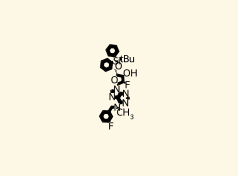 CN(Cc1cccc(F)c1)c1ncnc2c1ncn2[C@@H]1O[C@H](CO[Si](c2ccccc2)(c2ccccc2)C(C)(C)C)[C@@H](O)[C@H]1F